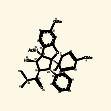 COC1=CCC(C)([C@@]23Oc4cc(OC)ccc4[C@]2(NC(C)=O)[C@H](O)[C@H](C(=O)N(C)C)[C@H]3c2ccccc2)C=C1